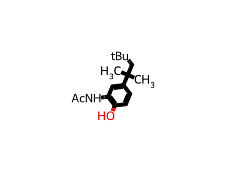 CC(=O)Nc1cc(C(C)(C)CC(C)(C)C)ccc1O